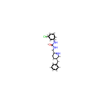 O=C(NC[C@@H]1CC[C@H](Cc2ccccc2)CN1)Nc1cccc(Cl)c1